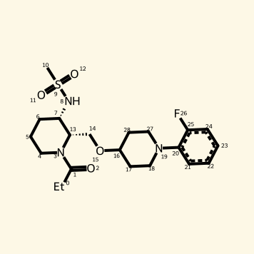 CCC(=O)N1CCC[C@H](NS(C)(=O)=O)[C@@H]1COC1CCN(c2ccccc2F)CC1